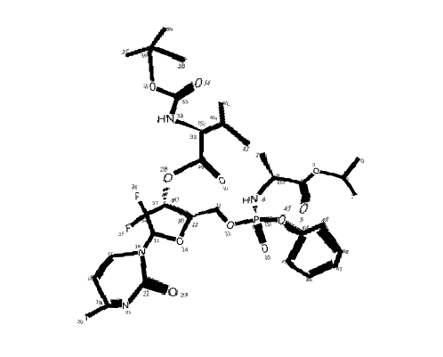 CC(C)OC(=O)[C@H](C)N[P@](=O)(OC[C@H]1OC(n2ccc(I)nc2=O)C(F)(F)[C@@H]1OC(=O)[C@@H](NC(=O)OC(C)(C)C)C(C)C)Oc1ccccc1